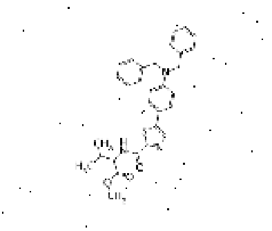 COC(=O)C(NC(=O)c1ncc(-c2ccc(N(Cc3ccccc3)Cc3ccccc3)cc2)s1)C(C)C